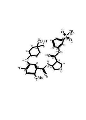 COc1cc(F)c(OC2CCC(C)(C(=O)O)CC2)cc1C(=O)NC1COCC1C(=O)Nc1cccc(S(=O)(=O)C(F)(F)F)c1